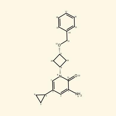 Nc1cc(C2CC2)cn([C@H]2C[C@@H](OCc3ccccc3)C2)c1=O